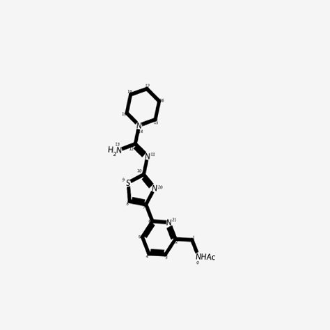 CC(=O)NCc1cccc(-c2csc(/N=C(\N)N3CCCCC3)n2)n1